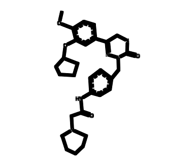 COc1ccc(C2=NN(Cc3ccc(NC(=O)CN4[CH]CCCC4)cc3)C(=O)SC2)cc1OC1CCCC1